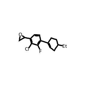 CCC1CC=C(c2ccc(C3CO3)c(Cl)c2F)CC1